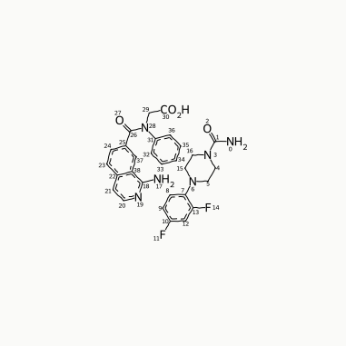 NC(=O)N1CCN(c2ccc(F)cc2F)CC1.Nc1nccc2ccc(C(=O)N(CC(=O)O)c3ccccc3)cc12